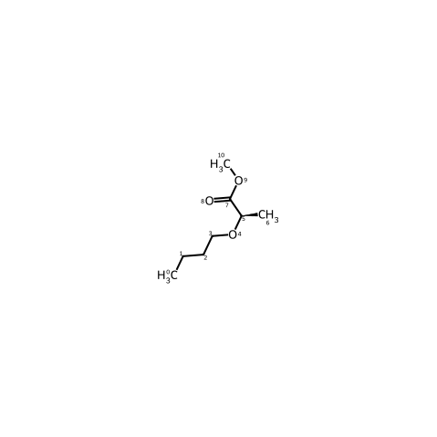 CCCCO[C@H](C)C(=O)OC